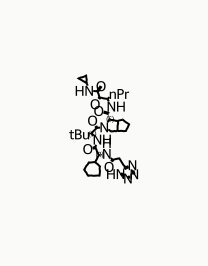 CCCC(NC(=O)[C@@H]1C2CCCC2CN1C(=O)[C@@H](NC(=O)[C@H](NC(=O)Cc1nnn[nH]1)C1CCCCC1)C(C)(C)C)C(=O)C(=O)NC1CC1